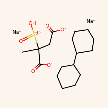 C1CCC(C2CCCCC2)CC1.CC(CC(=O)[O-])(C(=O)[O-])S(=O)(=O)O.[Na+].[Na+]